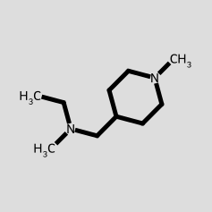 CCN(C)CC1CCN(C)CC1